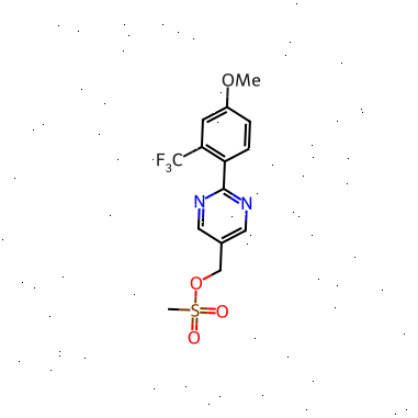 COc1ccc(-c2ncc(COS(C)(=O)=O)cn2)c(C(F)(F)F)c1